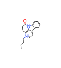 CCCC[n+]1ccc2c3ccccc3n3c(=O)ccc1c23